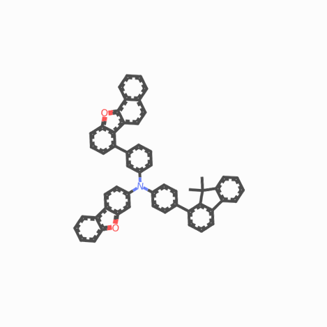 CC1(C)c2ccccc2-c2cccc(-c3ccc(N(c4cccc(-c5cccc6oc7c8ccccc8ccc7c56)c4)c4ccc5c(c4)oc4ccccc45)cc3)c21